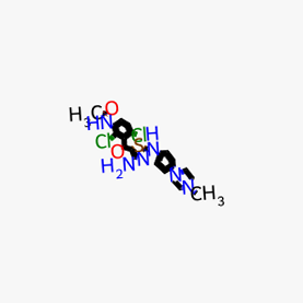 CC(=O)Nc1ccc(Cl)c(C(=O)c2sc(Nc3ccc(N4CCN(C)CC4)cc3)nc2N)c1Cl